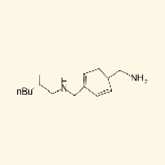 CCCC[C@H](C)CNCC1=CCC(CN)C=C1